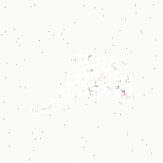 CCCCCCCCCCCCCCCCCCC=CC(CC/C=C\C[C@@H]1[C@H](/C=C/C[C@H](O)C2(CC)CCC2)[C@H](O)C[C@@H]1Cl)C(=O)O